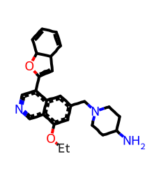 CCOc1cc(CN2CCC(N)CC2)cc2c(C3=CC4C=CC=CC4O3)cncc12